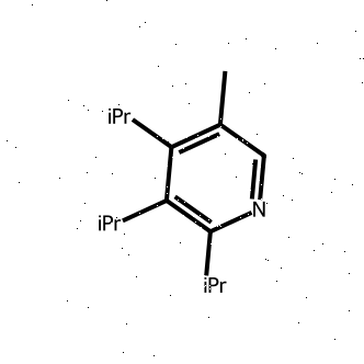 Cc1cnc(C(C)C)c(C(C)C)c1C(C)C